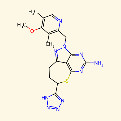 COc1c(C)cnc(Cn2nc3c4c(nc(N)nc42)SC(c2nnn[nH]2)CC3)c1C